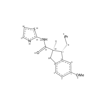 COc1ccc2c(c1)[C@@H](CC(C)C)[C@](C)(C(=O)Nc1nccs1)C2